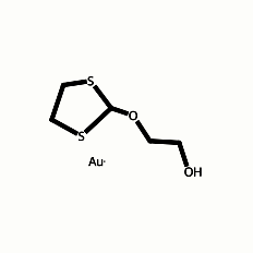 OCCOC1SCCS1.[Au]